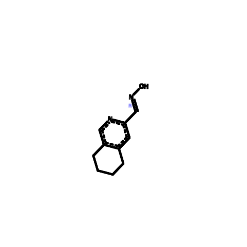 O/N=C/c1cc2c(cn1)CCCC2